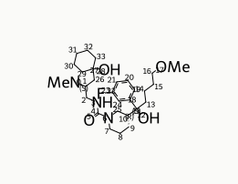 CN[C@H](CNC(=O)N1CCC[C@@H]([C@@](O)(CCCCOC)c2cccc(F)c2)C1)CC1(O)CCCCC1